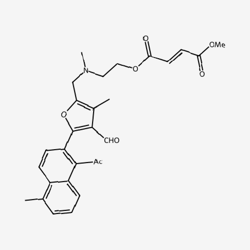 COC(=O)/C=C/C(=O)OCCN(C)Cc1oc(-c2ccc3c(C)cccc3c2C(C)=O)c(C=O)c1C